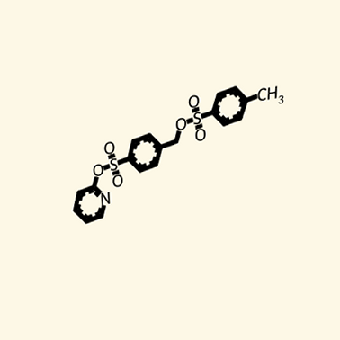 Cc1ccc(S(=O)(=O)OCc2ccc(S(=O)(=O)Oc3ccccn3)cc2)cc1